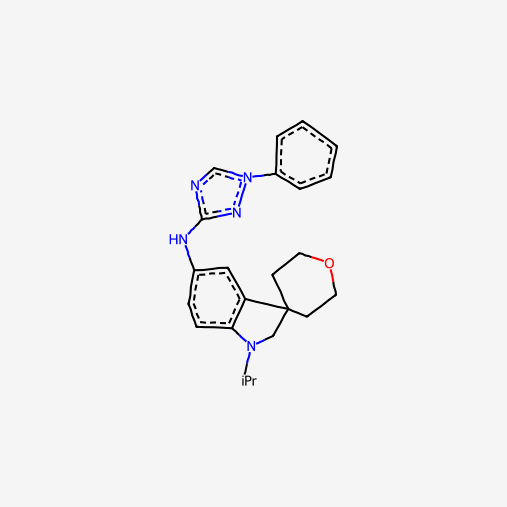 CC(C)N1CC2(CCOCC2)c2cc(Nc3ncn(-c4ccccc4)n3)ccc21